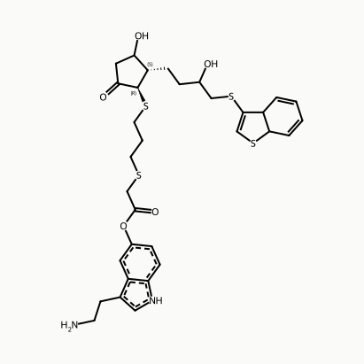 NCCc1c[nH]c2ccc(OC(=O)CSCCCS[C@H]3C(=O)CC(O)[C@@H]3CCC(O)CSC3=CSC4C=CC=CC34)cc12